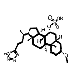 CO[C@@H]1CC[C@@]2(C)[C@@H](C1)C[C@@H](OS(=O)(=O)O)[C@@H]1[C@@H]2CC[C@]2(C)[C@@H]([C@H](C)CCc3nnn[nH]3)CC[C@@H]12